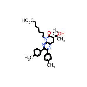 Cc1ccc(-c2nc3c(nc2-c2ccc(C)cc2)N(CCCCCCC(=O)O)C(=O)[C@@H](C(C)(C)O)C3)cc1